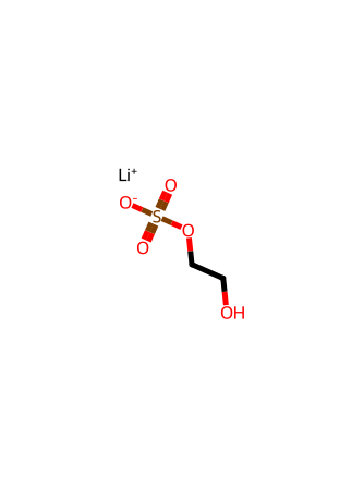 O=S(=O)([O-])OCCO.[Li+]